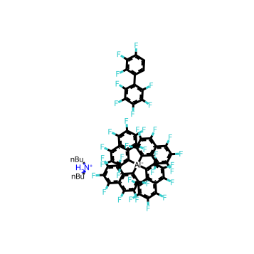 CCCC[NH2+]CCCC.Fc1c(F)c(F)c2[c]([Al-]([c]3c(F)c(F)c(F)c4c(F)c(F)c(F)c(F)c34)([c]3c(F)c(F)c(F)c4c(F)c(F)c(F)c(F)c34)[c]3c(F)c(F)c(F)c4c(F)c(F)c(F)c(F)c34)c(F)c(F)c(F)c2c1F.Fc1ccc(-c2c(F)c(F)c(F)c(F)c2F)c(F)c1F